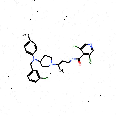 COc1ccc(N(Cc2cccc(Cl)c2)C2CCN(C(C)CCNC(=O)c3c(Cl)cncc3Cl)CC2)cc1